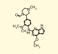 CCOc1nc(Nc2ccc(C3CN(C)CCN3C=O)cc2N(C)C)nc2[nH]ccc12